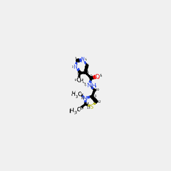 Cc1ncncc1C(=O)NCC1=CSC(C)N1C